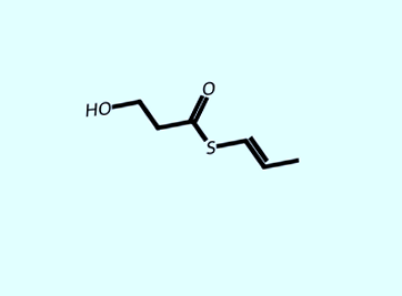 CC=CSC(=O)CCO